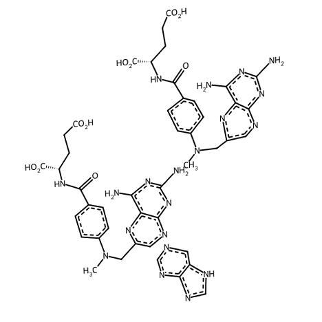 CN(Cc1cnc2nc(N)nc(N)c2n1)c1ccc(C(=O)N[C@@H](CCC(=O)O)C(=O)O)cc1.CN(Cc1cnc2nc(N)nc(N)c2n1)c1ccc(C(=O)N[C@@H](CCC(=O)O)C(=O)O)cc1.c1ncc2[nH]cnc2n1